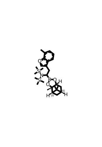 Cc1cccc2c(CC(B3O[C@@H]4C[C@@H]5C[C@@H](C5(C)C)[C@]4(C)O3)N([Si](C)(C)C)[Si](C)(C)C)coc12